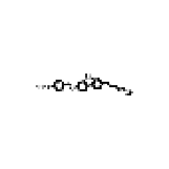 CCCCCCc1ccc(COc2ccc(-c3ccc(CCCCCO)cc3CC)c(CC)c2)cc1